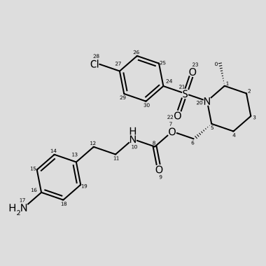 C[C@@H]1CCC[C@H](COC(=O)NCCc2ccc(N)cc2)N1S(=O)(=O)c1ccc(Cl)cc1